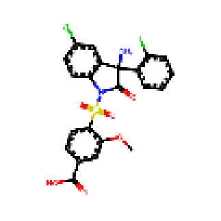 COc1cc(C(=O)O)ccc1S(=O)(=O)N1C(=O)C(N)(c2ccccc2Cl)c2cc(Cl)ccc21